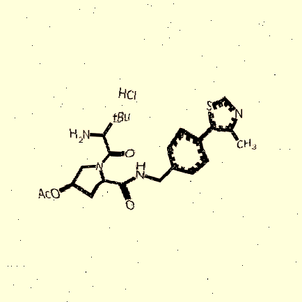 CC(=O)OC1CC(C(=O)NCc2ccc(-c3scnc3C)cc2)N(C(=O)C(N)C(C)(C)C)C1.Cl